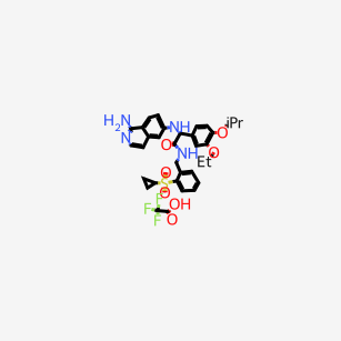 CCOc1cc(C(Nc2ccc3c(N)nccc3c2)C(=O)NCc2ccccc2S(=O)(=O)C2CC2)ccc1OC(C)C.O=C(O)C(F)(F)F